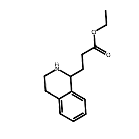 CCOC(=O)CCC1NCCc2ccccc21